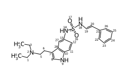 CCN(CC)CCc1c[nH]c2ccc(NS(=O)(=O)N/C=C/c3ccccc3)cc12